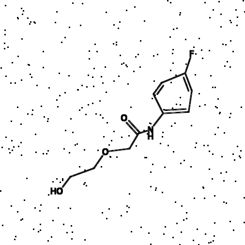 O=C(COCCO)Nc1ccc(F)cc1